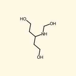 OCCC(CCO)NCO